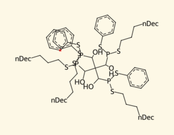 CCCCCCCCCCCCCSP(Sc1ccccc1)C(O)C(C(O)P(SCCCCCCCCCCCCC)Sc1ccccc1)(C(O)P(SCCCCCCCCCCCCC)Sc1ccccc1)C(O)P(SCCCCCCCCCCCCC)Sc1ccccc1